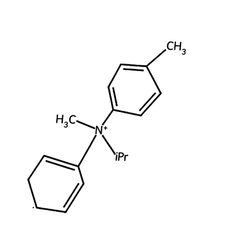 Cc1ccc([N+](C)(C2=CC[CH]C=C2)C(C)C)cc1